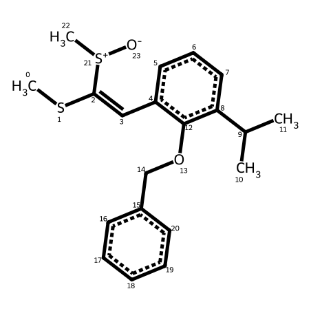 CSC(=Cc1cccc(C(C)C)c1OCc1ccccc1)[S+](C)[O-]